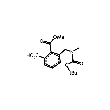 COC(=O)c1c(CN(C)C(=O)OC(C)(C)C)cccc1C(=O)O